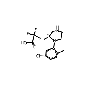 Cc1ccc(Cl)cc1N1CCNC[C@@H]1C.O=C(O)C(F)(F)F